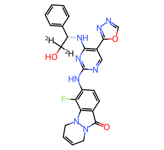 [2H]C([2H])(O)[C@@H](Nc1nc(Nc2ccc3c(=O)n4n(c3c2F)CC=CC4)ncc1-c1nnco1)c1ccccc1